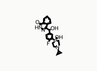 O=c1[nH]nc(C(O)c2ccc(F)c([P]3(O)CCN(C4CC4)CC3)c2)c2ccccc12